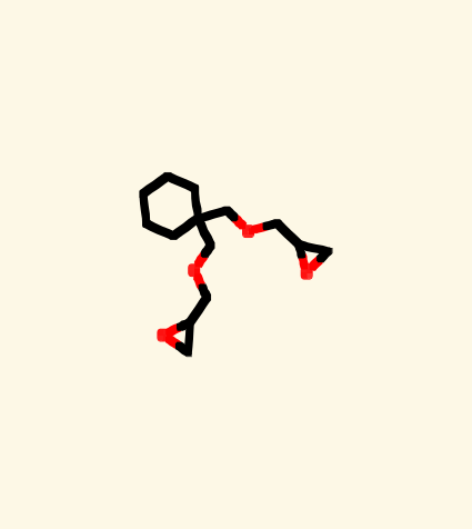 C1CCC(COCC2CO2)(COCC2CO2)CC1